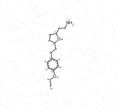 NCCC1CCC(CCc2ccc(OCF)cc2)O1